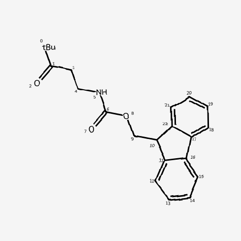 CC(C)(C)C(=O)CCNC(=O)OCC1c2ccccc2-c2ccccc21